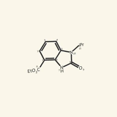 CCOC(=O)c1cccc2c1[nH]c(=O)n2C(C)C